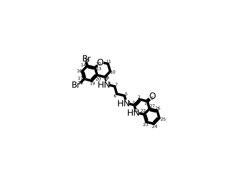 O=c1cc(NCCCN[C@@H]2CCOc3c(Br)cc(Br)cc32)[nH]c2ccccc12